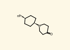 CCC[C@H]1CC[C@@H](N2CCC(=O)CC2)CC1